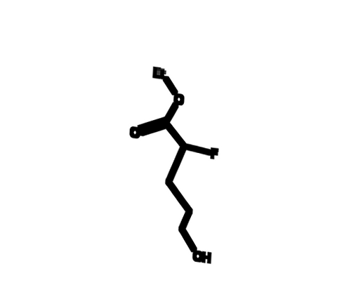 CCOC(=O)C(F)CCCO